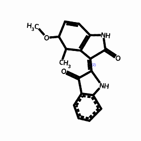 COC1C=CC2=C(/C(=C3/Nc4ccccc4C3=O)C(=O)N2)C1C